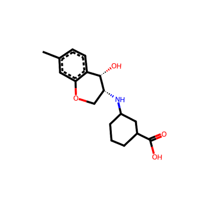 Cc1ccc2c(c1)OC[C@@H](NC1CCCC(C(=O)O)C1)[C@H]2O